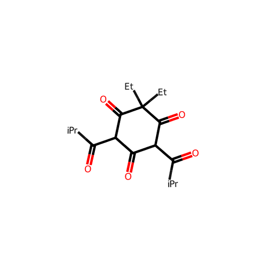 CCC1(CC)C(=O)C(C(=O)C(C)C)C(=O)C(C(=O)C(C)C)C1=O